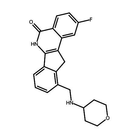 O=c1[nH]c2c(c3cc(F)ccc13)Cc1c(CNC3CCOCC3)cccc1-2